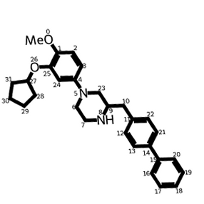 COc1ccc(N2CCNC(Cc3ccc(-c4ccccc4)cc3)C2)cc1OC1CCCC1